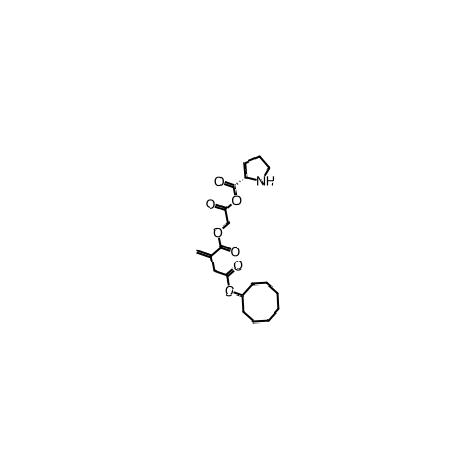 C=C(CC(=O)OC1CCCCCCC1)C(=O)OCC(=O)OC(=O)[C@@H]1CCCN1